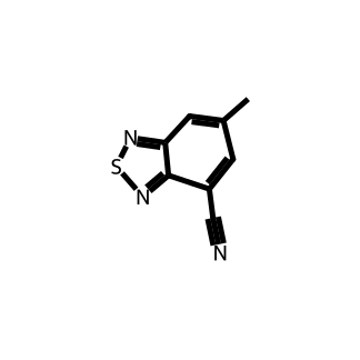 Cc1cc(C#N)c2nsnc2c1